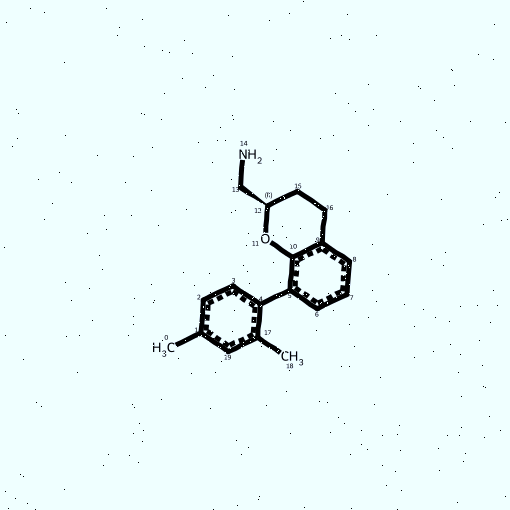 Cc1ccc(-c2cccc3c2O[C@@H](CN)CC3)c(C)c1